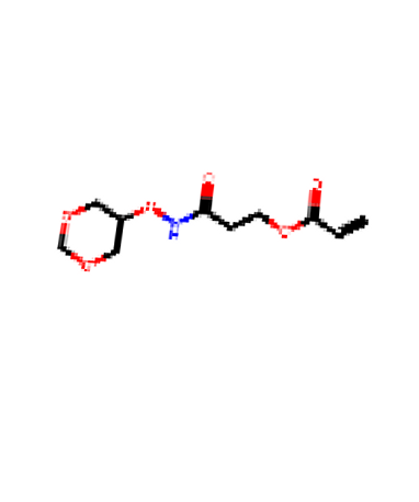 C=CC(=O)OCCC(=O)NOC1COCOC1